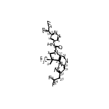 C[C@]1(C(F)(F)F)CN(C(=O)Nc2cnnc(C(F)F)c2)c2cnc3cc(CC(F)F)nn3c21